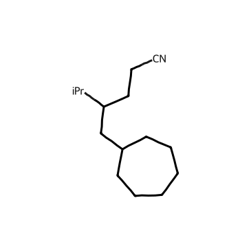 CC(C)C(CCC#N)CC1CCCCCC1